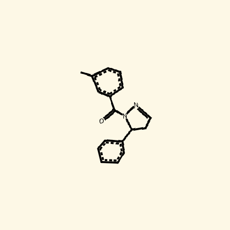 Cc1cccc(C(=O)N2N=CCC2c2ccccc2)c1